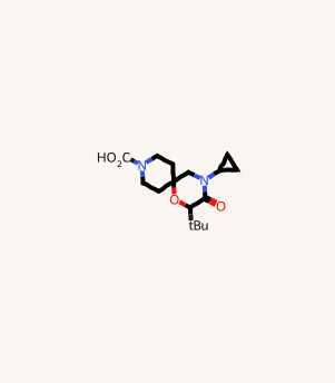 CC(C)(C)C1OC2(CCN(C(=O)O)CC2)CN(C2CC2)C1=O